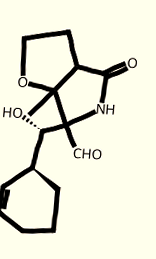 CC12OCCC1C(=O)NC2(C=O)[C@@H](O)[C@@H]1C=CCCC1